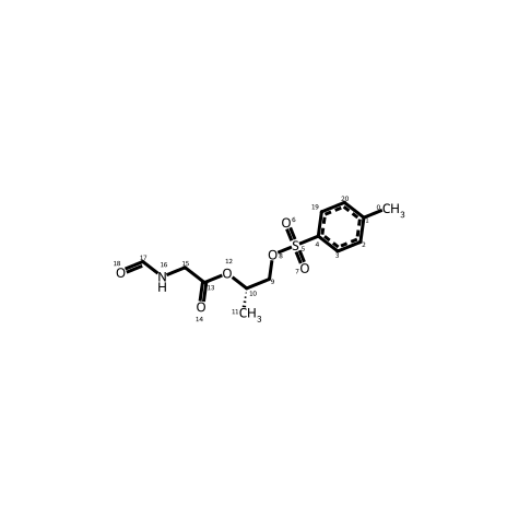 Cc1ccc(S(=O)(=O)OC[C@H](C)OC(=O)CNC=O)cc1